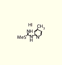 CSC(=N)Nc1cc(C)ccn1.I